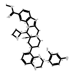 COC(=O)c1ccc2nc3n(c2c1)C([C@@H]1CCO1)[C@H]1CC(c2cccc4c2O[C@H](c2ccc(Cl)cc2F)CO4)CCN1C3